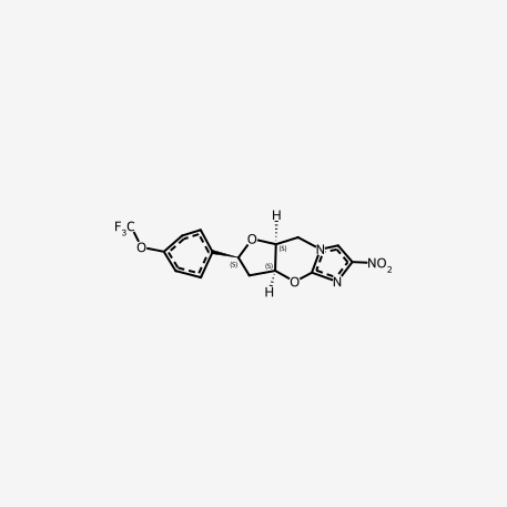 O=[N+]([O-])c1cn2c(n1)O[C@H]1C[C@@H](c3ccc(OC(F)(F)F)cc3)O[C@H]1C2